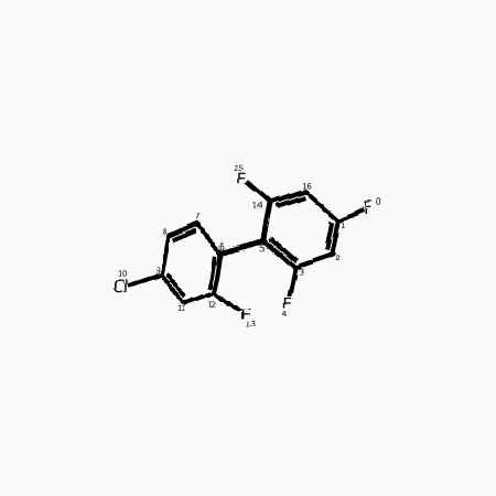 Fc1cc(F)c(-c2ccc(Cl)cc2F)c(F)c1